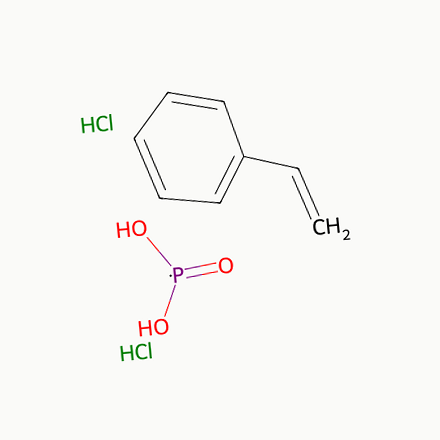 C=Cc1ccccc1.Cl.Cl.O=[P](O)O